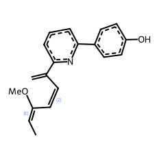 C=C(/C=C\C(=C/C)OC)c1cccc(-c2ccc(O)cc2)n1